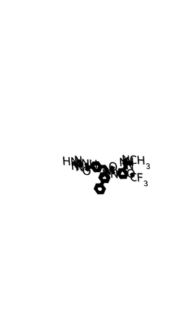 Cn1nnc(-c2cc(NC(=O)N(Cc3ccc(C(=O)Nc4nn[nH]n4)cc3)c3ccc(C4=CCCCC4)cc3)ccc2OC(F)(F)F)n1